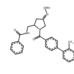 CO/N=C1\CC(CNC(=O)c2ccccc2)N(C(=O)c2ccc(-c3ccccc3C)cc2)C1